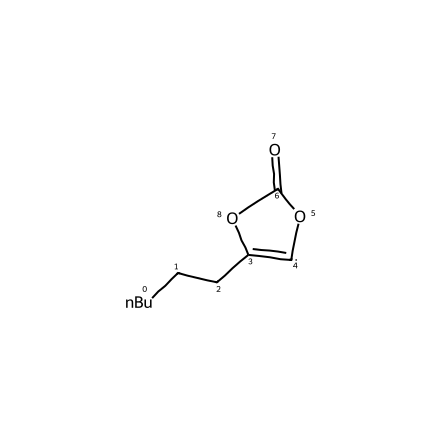 CCCCCCc1[c]oc(=O)o1